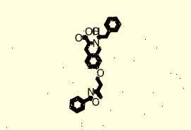 O=C(O)C1Cc2ccc(OCCc3coc(-c4ccccc4)n3)cc2CN1C(=O)Cc1ccccc1